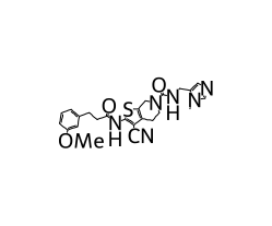 COc1cccc(CCC(=O)Nc2sc3c(c2C#N)CCN(C(=O)NCc2cncn2C)C3)c1